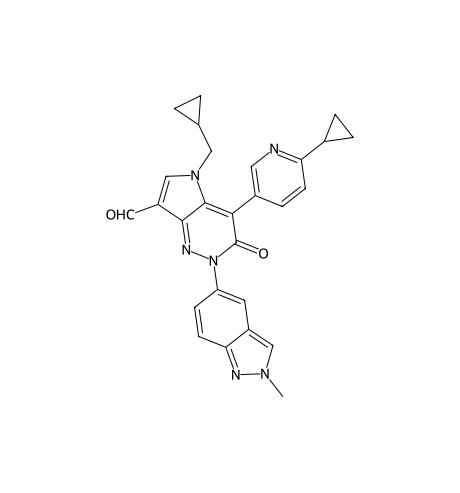 Cn1cc2cc(-n3nc4c(C=O)cn(CC5CC5)c4c(-c4ccc(C5CC5)nc4)c3=O)ccc2n1